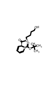 CC(C)(C)OC(=O)N1C=CC=C[C@H]1C(=O)OCCCCO